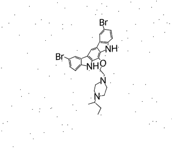 CCC(C)N1CCN(CCOc2c3[nH]c4ccc(Br)cc4c3cc3c2[nH]c2ccc(Br)cc23)CC1